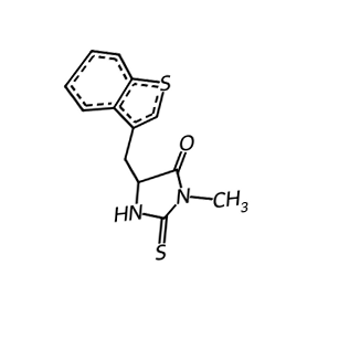 CN1C(=O)C(Cc2csc3ccccc23)NC1=S